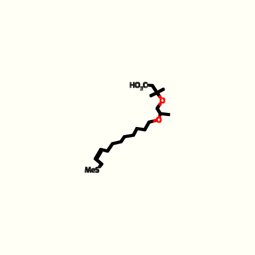 CSC/C=C\CCCCCCCCOC(C)COC(C)(C)CC(=O)O